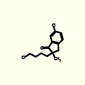 CC1(CCCCCl)Cc2ccc(Cl)cc2C1=O